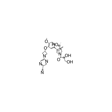 COc1ccc([C@@H]2CN(C(=O)[C@@H](O)CO)C[C@@]2(C)[C@@H](C)O)cc1OC1CN(c2cnc(C#N)cn2)C1